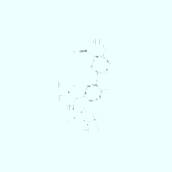 COc1ccc(-c2cc(C(NS(=O)(=O)NC(C)(C)C)C(F)(F)F)ccc2F)cc1C(=O)O